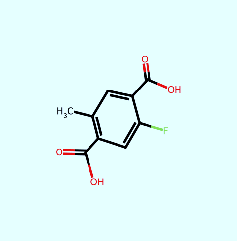 Cc1cc(C(=O)O)c(F)cc1C(=O)O